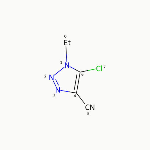 CCn1nnc(C#N)c1Cl